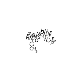 CC1CCC([C@H](NC(=O)C2(F)CC2)C(=O)Nc2ncc([C@@H](CN3CCC(C(F)(F)F)CC3)N3CC(F)(F)CNC3=O)s2)CC1